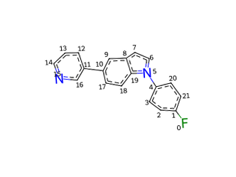 Fc1ccc(-n2ccc3cc(-c4cccnc4)ccc32)cc1